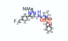 CNc1nc(CNC(=O)C2CCCN2S(=O)(=O)c2cc3ccccc3o2)cc(-c2ccc(C(F)(F)F)cc2)n1